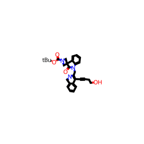 CC(C)(C)OC(=O)N1CC2(C1)C(=O)N(Cc1ncc3ccccc3c1C#CCCO)c1ccccc12